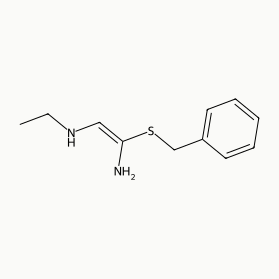 CCN/C=C(\N)SCc1ccccc1